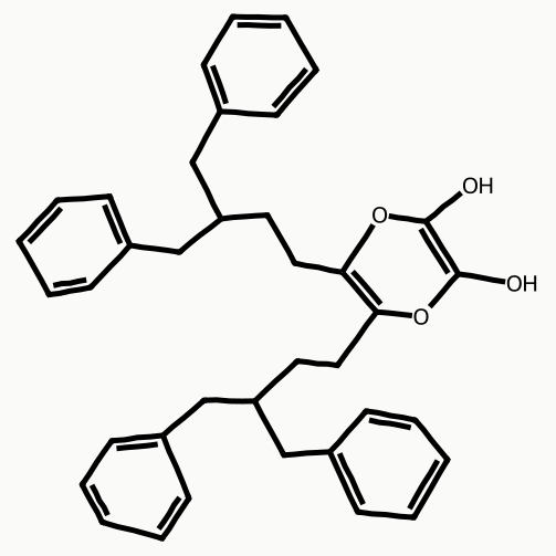 OC1=C(O)OC(CCC(Cc2ccccc2)Cc2ccccc2)=C(CCC(Cc2ccccc2)Cc2ccccc2)O1